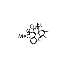 CCn1c(=O)c(C(=O)OC)c(-c2ccccc2Cl)c2cc(C)c(C)cc21